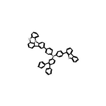 c1ccc(-c2ccc(N(c3ccc(-c4ccc5c(c4)c4cccc6c4n5-c4ccccc4O6)cc3)c3ccc(-c4cccc5c4sc4ccccc45)cc3)cc2-c2ccccc2)cc1